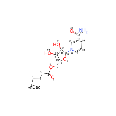 CCCCCCCCCCCCCC(=O)OC[C@H]1OC(N2C=CCC(C(N)=O)=C2)[C@H](O)[C@@H]1O